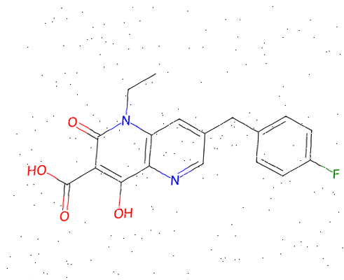 CCn1c(=O)c(C(=O)O)c(O)c2ncc(Cc3ccc(F)cc3)cc21